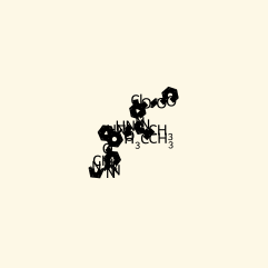 CN1CCC[C@H]1c1nnc2ccc(O[C@@H]3CC[C@H](NC(=O)Nc4cc(C(C)(C)C)nn4-c4ccc(Cl)c(OCCOC5CCCCO5)c4)c4ccccc43)cn12